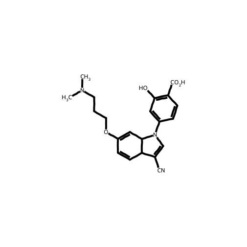 CN(C)CCCOC1=CC2C(C=C1)C(C#N)=CN2c1ccc(C(=O)O)c(O)c1